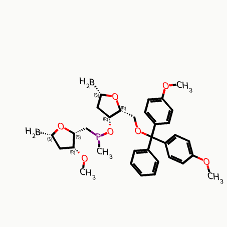 B[C@H]1C[C@@H](OC)[C@@H](CP(C)O[C@@H]2C[C@H](B)O[C@@H]2COC(c2ccccc2)(c2ccc(OC)cc2)c2ccc(OC)cc2)O1